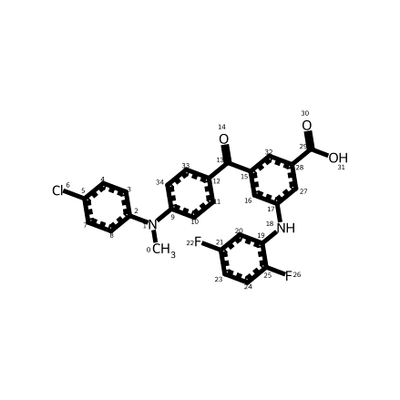 CN(c1ccc(Cl)cc1)c1ccc(C(=O)c2cc(Nc3cc(F)ccc3F)cc(C(=O)O)c2)cc1